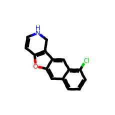 Clc1cccc2cc3oc4c(c3cc12)CNC=C4